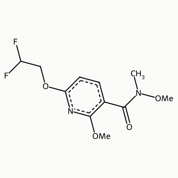 COc1nc(OCC(F)F)ccc1C(=O)N(C)OC